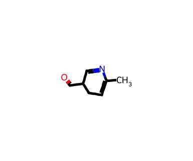 CC1=CCC(C=O)C=N1